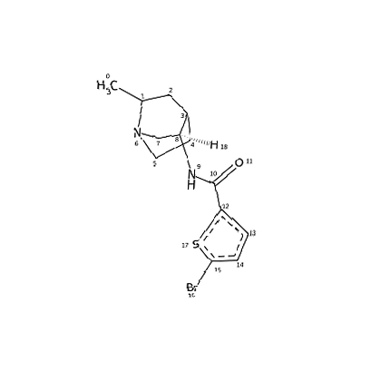 CC1CC2CCN1C[C@@H]2NC(=O)c1ccc(Br)s1